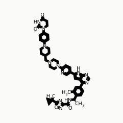 Cc1cc(-c2ncnc3[nH]c(-c4ccc(N5CCN(CC6CCN(c7ccc(N8CCC(=O)NC8=O)cc7)CC6)CC5)nc4)cc23)ccc1[C@@H](C)NC(=O)c1noc(C2(C)CC2)n1